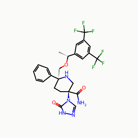 C[C@@H](OC[C@@]1(c2ccccc2)CC[C@](C(N)=O)(n2cn[nH]c2=O)CN1)c1cc(C(F)(F)F)cc(C(F)(F)F)c1